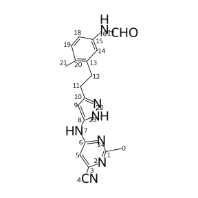 Cc1nc(C#N)cc(Nc2cc(CCc3cc(NC=O)ccc3C)n[nH]2)n1